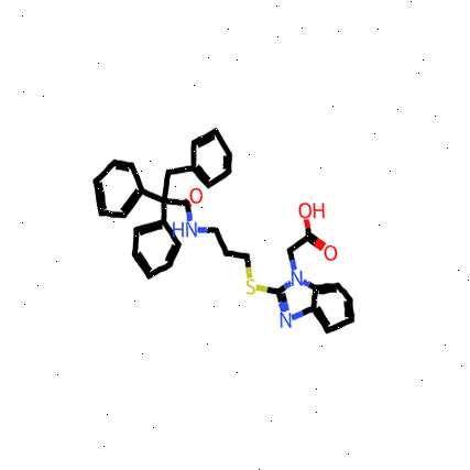 O=C(O)Cn1c(SCCCNC(=O)C(Cc2ccccc2)(c2ccccc2)c2ccccc2)nc2ccccc21